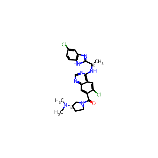 C[C@H](Nc1ncnc2cc(C(=O)N3CC[C@H](N(C)C)C3)c(Cl)cc12)c1nc2cc(Cl)ccc2[nH]1